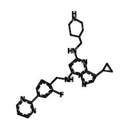 Fc1cc(-c2ncccn2)ccc1CNc1cc(NCC2CCNCC2)nc2c(C3CC3)cnn12